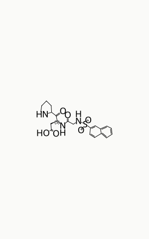 O=C(O)C[C@H](NC(=O)CNS(=O)(=O)c1ccc2ccccc2c1)C(=O)C1CCCCN1